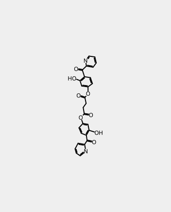 O=C(CCC(=O)Oc1ccc(C(=O)c2ccccn2)c(O)c1)Oc1ccc(C(=O)c2ccccn2)c(O)c1